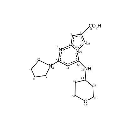 O=C(O)c1cc2nc(N3CCCC3)cc(NC3CCOCC3)n2n1